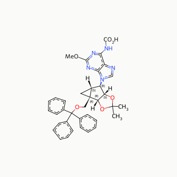 COc1nc(NC(=O)O)c2ncn([C@H]3[C@@H]4OC(C)(C)O[C@@H]4[C@]4(COC(c5ccccc5)(c5ccccc5)c5ccccc5)C[C@H]34)c2n1